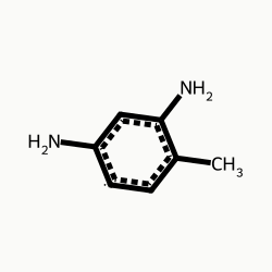 Cc1c[c]c(N)cc1N